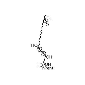 CCCCCC(O)C(O)CCC[C@H](O)[C@H]1CC[C@@H]([C@@H]2CC[C@@H]([C@@H](O)CCCCCCCCCCCCC3=C[C@H](C)OC3=O)O2)O1